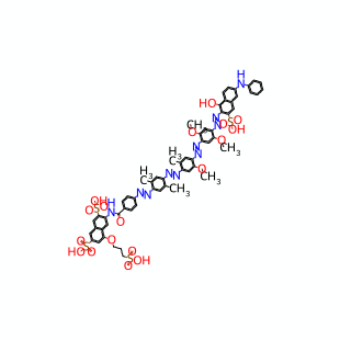 COc1cc(N=Nc2cc(C)c(N=Nc3ccc(C(=O)Nc4cc5c(OCCCS(=O)(=O)O)cc(S(=O)(=O)O)cc5cc4S(=O)(=O)O)cc3)cc2C)c(C)cc1N=Nc1cc(OC)c(N=Nc2c(S(=O)(=O)O)cc3cc(Nc4ccccc4)ccc3c2O)cc1OC